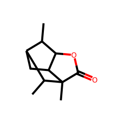 CC1C2CC3C1OC(=O)C3(C)C2C